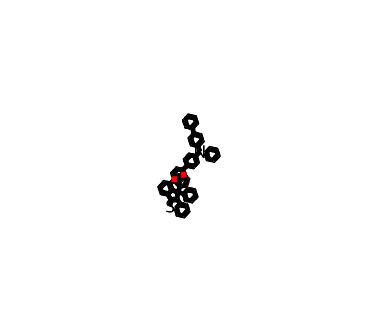 c1ccc(-c2ccc(N(c3ccccc3)c3ccc(-c4ccc(-c5cccc6c5C(c5ccccc5)(c5ccccc5)c5c-6sc6ccccc56)cc4)cc3)cc2)cc1